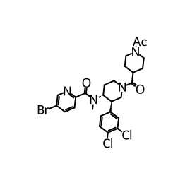 CC(=O)N1CCC(C(=O)N2CC[C@@H](N(C)C(=O)c3ccc(Br)cn3)[C@H](c3ccc(Cl)c(Cl)c3)C2)CC1